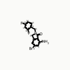 Nc1cc(Br)cc2c1C(=O)N(Cc1ccc(F)cc1F)C2